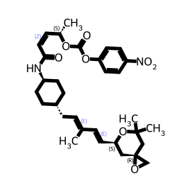 CC(/C=C/[C@@H]1C[C@]2(CO2)CC(C)(C)O1)=C\C[C@H]1CC[C@H](NC(=O)/C=C\[C@H](C)OC(=O)Oc2ccc([N+](=O)[O-])cc2)CC1